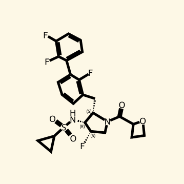 O=C(C1CCO1)N1C[C@H](F)[C@H](NS(=O)(=O)C2CC2)[C@@H]1Cc1cccc(-c2cccc(F)c2F)c1F